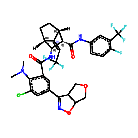 CN(C)c1c(Cl)cc(C2=NOC3COCC23)cc1C(=O)N[C@H]1[C@@H](C(=O)Nc2ccc(F)c(C(F)(F)F)c2)[C@H]2CC[C@@H]1/C2=C\C(F)(F)F